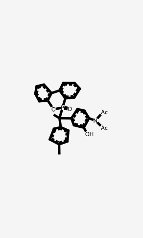 CC(=O)N(C(C)=O)c1ccc(C(C)(c2ccc(C)cc2)P2(=O)Oc3ccccc3-c3ccccc32)cc1O